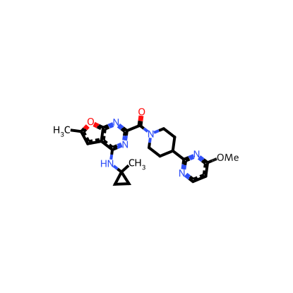 COc1ccnc(C2CCN(C(=O)c3nc(NC4(C)CC4)c4cc(C)oc4n3)CC2)n1